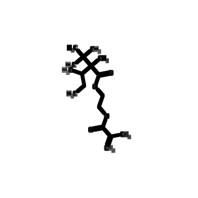 C=C(C)C(=O)OCCOC(=O)C(C)(C(C)CC)C(C)(C)C